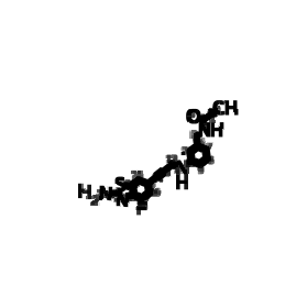 C#CC(=O)NCc1cccc(NCC#Cc2cc(F)c3nc(N)sc3c2)c1